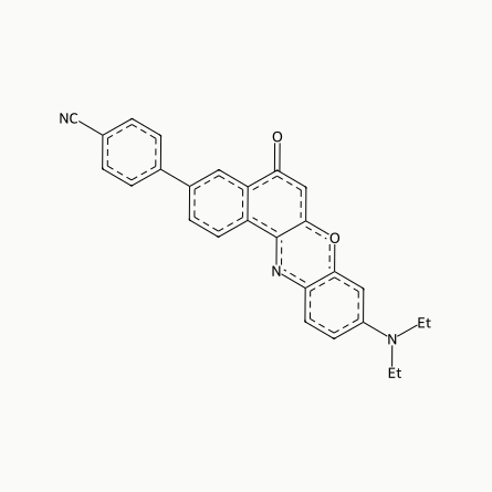 CCN(CC)c1ccc2nc3c4ccc(-c5ccc(C#N)cc5)cc4c(=O)cc-3oc2c1